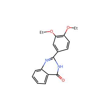 CCOc1ccc(-c2nc3ccccc3c(=O)[nH]2)cc1OCC